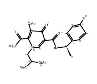 COC(=O)c1c(OC)c(=O)c(C(=O)N[C@H](C)c2ccc(F)cc2)cn1CC(OC)OC